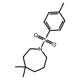 Cc1ccc(S(=O)(=O)N2CCCC(C)(C)CC2)cc1